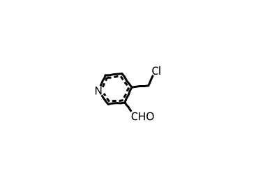 O=Cc1cnccc1CCl